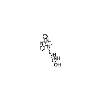 O[C@H]1CNC(CNCCCN2CCCn3c4ccccc4c4nc5ccccc5c2c43)C1